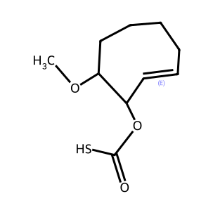 COC1CCCC/C=C/C1OC(=O)S